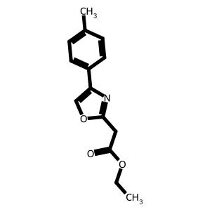 CCOC(=O)Cc1nc(-c2ccc(C)cc2)co1